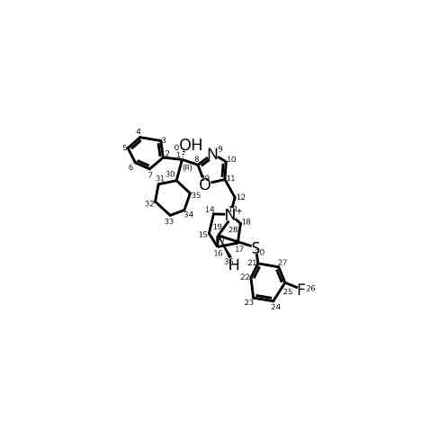 O[C@](c1ccccc1)(c1ncc(C[N+]23CCC(CC2)[C@@H](Sc2cccc(F)c2)C3)o1)C1CCCCC1